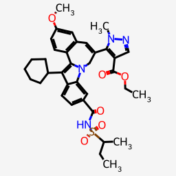 CCOC(=O)c1cnn(C)c1C1=Cc2cc(OC)ccc2-c2c(C3CCCCC3)c3ccc(C(=O)NS(=O)(=O)C(C)CC)cc3n2C1